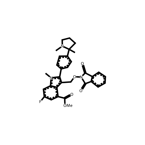 COC(=O)c1cc(F)cc2c1c(CON1C(=O)c3ccccc3C1=O)c(-c1ccc(C3(C)CCCN3C)cc1)n2C